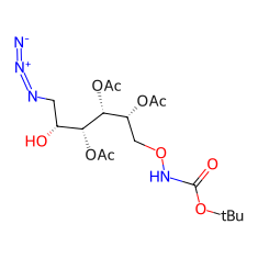 CC(=O)O[C@@H]([C@H](OC(C)=O)[C@@H](CONC(=O)OC(C)(C)C)OC(C)=O)[C@H](O)CN=[N+]=[N-]